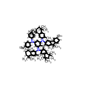 Cc1cc2c(cc1N1c3cc4c(cc3B3c5cc6c(cc5N(c5cc7c(cc5C)C(C)(C)CCC7(C)C)c5cc(N(c7ccc(C(C)(C)C)cc7)c7ccc(C(C)(C)C)cc7)cc1c53)C(C)(C)CC6(C)C)C(C)(C)c1ccc(C(C)(C)C)cc1-4)C(C)(C)CCC2(C)C